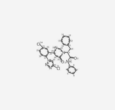 O=C(Nc1ccccc1)[C@H](Cc1ccccc1)n1cnc(-c2cc(Cl)ccc2-n2cc(Cl)nn2)cc1=O